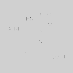 CC(=O)N[C@]1(NC=O)C(=O)N2C(C(=O)O)CS[C@H]21